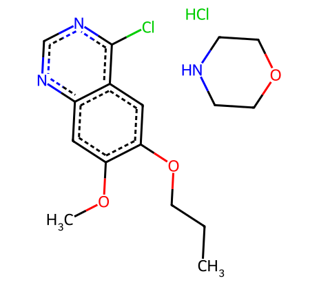 C1COCCN1.CCCOc1cc2c(Cl)ncnc2cc1OC.Cl